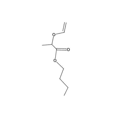 C=COC(C)C(=O)OCCCC